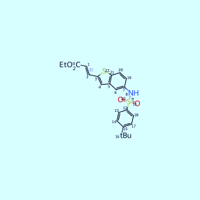 CCOC(=O)/C=C/c1cc2cc(NS(=O)(=O)c3ccc(C(C)(C)C)cc3)ccc2s1